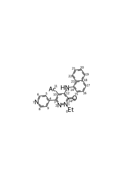 CCn1nc(-c2ccncc2)c(C(C)=O)c(Nc2cccc3ccccc23)c1=O